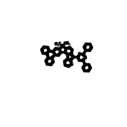 CC1(C)c2cc3c4ccccc4c4ccccc4c3cc2-c2c1ccc1c2c2cccnc2n1-c1cc(-c2ccccc2)nc(-c2ccccc2)n1